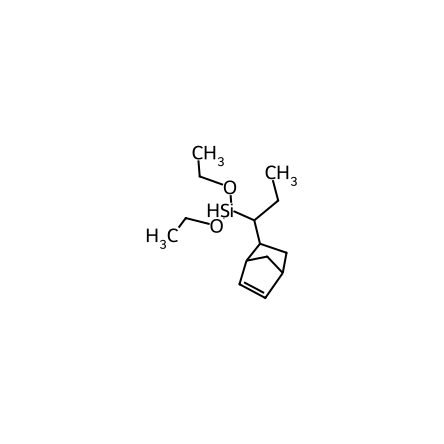 CCO[SiH](OCC)C(CC)C1CC2C=CC1C2